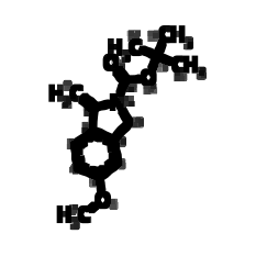 C=C1c2ccc(OC)cc2CN1C(=O)OC(C)(C)C